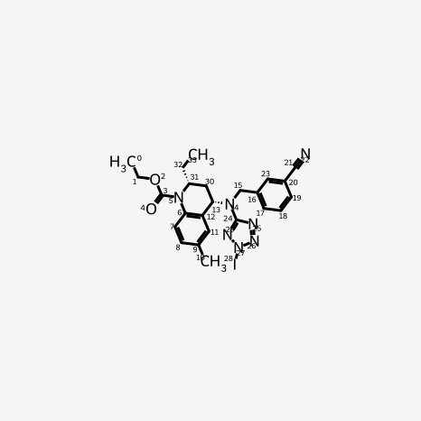 CCOC(=O)N1c2ccc(C)cc2[C@@H](N(Cc2cccc(C#N)c2)c2nnn(I)n2)C[C@H]1CC